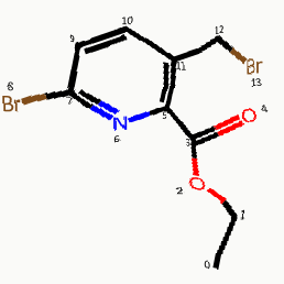 CCOC(=O)c1nc(Br)ccc1CBr